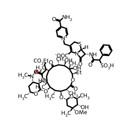 CCOC(=O)CCC(=O)O[C@H]1[C@H](O[C@@H]2[C@@H](C)[C@H](O[C@H]3C[C@@](C)(OC)[C@@H](O)[C@H](C)O3)[C@@H](C)C(=O)O[C@H](CC)[C@@](C)(O)[C@H](O)[C@@H](C)C(=O)[C@H](C)C[C@@]2(C)O)O[C@H](C)C[C@@H]1N(C)C.NC(=O)c1cc[n+](CC2=C(C(=O)[O-])N3C(=O)[C@@H](NC(=O)C(c4ccccc4)S(=O)(=O)O)[C@H]3SC2)cc1